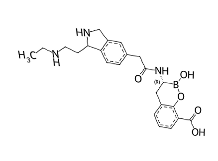 CCNCCC1NCc2cc(CC(=O)N[C@H]3Cc4cccc(C(=O)O)c4OB3O)ccc21